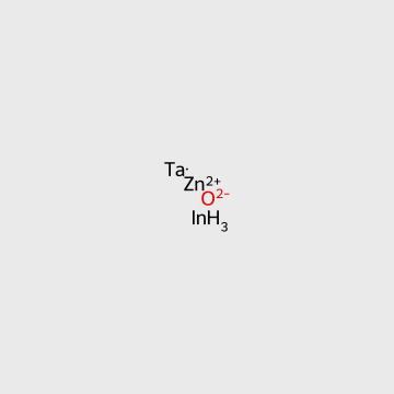 [InH3].[O-2].[Ta].[Zn+2]